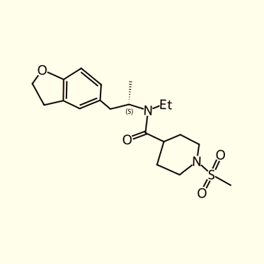 CCN(C(=O)C1CCN(S(C)(=O)=O)CC1)[C@@H](C)Cc1ccc2c(c1)CCO2